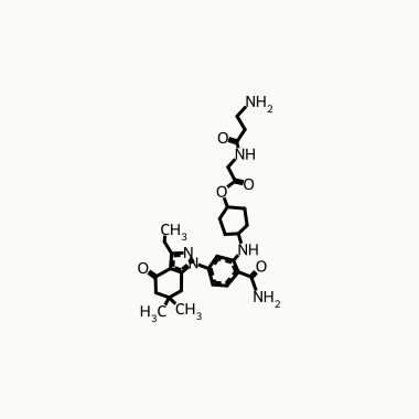 CCc1nn(-c2ccc(C(N)=O)c(NC3CCC(OC(=O)CNC(=O)CCN)CC3)c2)c2c1C(=O)CC(C)(C)C2